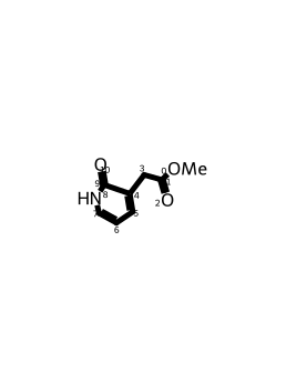 COC(=O)Cc1ccc[nH]c1=O